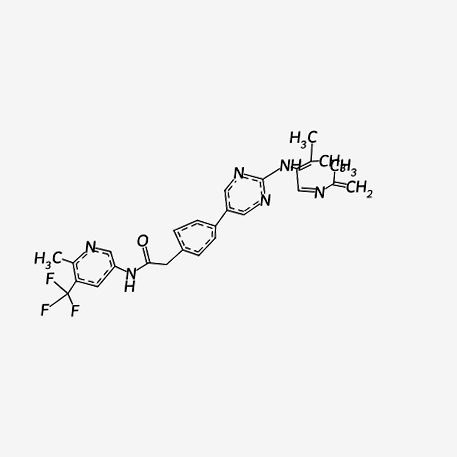 C=C(C)/N=C\C(Nc1ncc(-c2ccc(CC(=O)Nc3cnc(C)c(C(F)(F)F)c3)cc2)cn1)=C(C)C